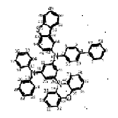 c1ccc(-c2ccc(N(c3cc(N(c4ccccc4)c4ccccc4)cc(N4c5ccccc5Oc5ccccc54)c3)c3ccc4sc5ccccc5c4c3)cc2)cc1